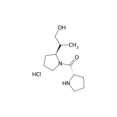 CC(CO)[C@@H]1CCCN1C(=O)[C@@H]1CCCN1.Cl